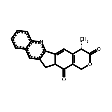 C[C@@H]1C(=O)OCC2=C1C=C1c3nc4ccccc4cc3CC1C2=O